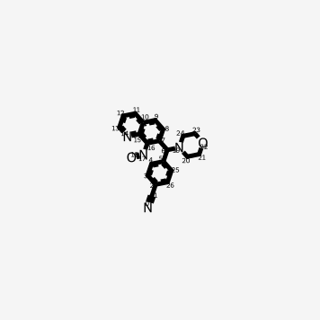 N#Cc1ccc(C(c2ccc3cccnc3c2N=O)N2CCOCC2)cc1